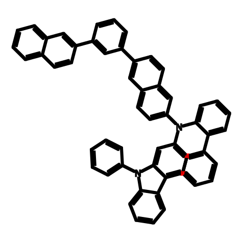 c1ccc(-c2ccccc2N(c2ccc3cc(-c4cccc(-c5ccc6ccccc6c5)c4)ccc3c2)c2ccc3c4ccccc4n(-c4ccccc4)c3c2)cc1